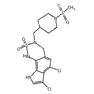 CS(=O)(=O)N1CCC(CN2Cc3cc(Cl)c4c(Cl)c[nH]c4c3NS2(=O)=O)CC1